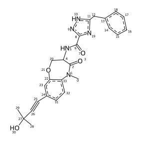 CN1C(=O)C(NC(=O)c2n[nH]c(Cc3ccccc3)n2)COc2cc(C#CC(C)(C)O)ccc21